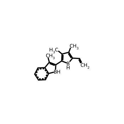 C=CC1=C(C)C(C)=C(C2=C(C)c3ccccc3B2)B1